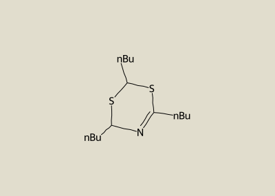 CCCCC1=NC(CCCC)SC(CCCC)S1